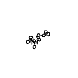 c1ccc(-c2nc(-c3cccc4c3sc3cccc(-c5ccc6c(c5)oc5ccccc56)c34)nc(-n3c4ccccc4c4ccccc43)n2)cc1